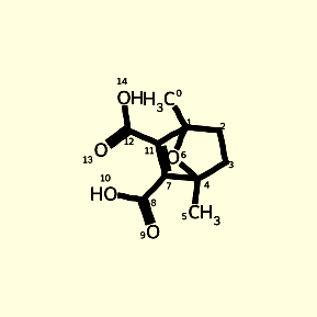 CC12CCC(C)(O1)C(C(=O)O)=C2C(=O)O